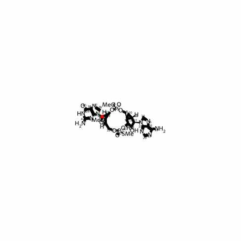 CO[C@H]1[C@H]2O[P@@](=O)(OC)OC[C@@]34C[C@@H]3[C@@H](n3cnc5c(N)ncnc53)[C@H](O)[C@@H]4O[P@](=O)(SC)OC[C@H]1O[C@H]2n1cnc2c(=O)[nH]c(N)nc21